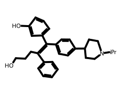 CC(C)N1CCC(c2ccc(/C(=C(/CCCO)c3ccccc3)c3cccc(O)c3)cc2)CC1